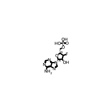 Nc1ncnc2c1ncn2[C@@H]1O[C@H](COP(=O)(O)O)C(F)C1O